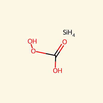 O=C(O)OO.[SiH4]